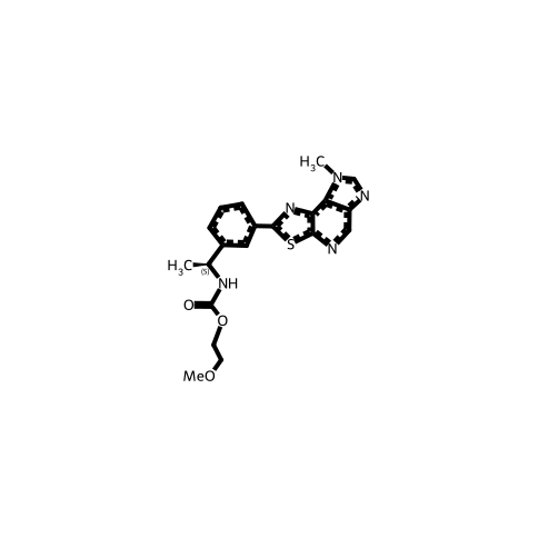 COCCOC(=O)N[C@@H](C)c1cccc(-c2nc3c(ncc4ncn(C)c43)s2)c1